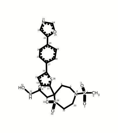 CS(=O)(=O)N1CCC(CC(=O)NO)(c2ccc(-c3ccc(-c4cnco4)cc3)s2)S(=O)(=O)CC1